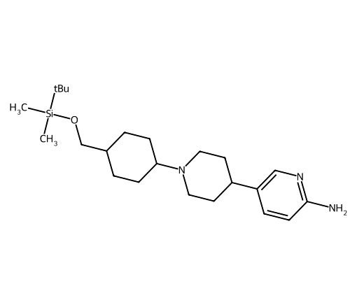 CC(C)(C)[Si](C)(C)OCC1CCC(N2CCC(c3ccc(N)nc3)CC2)CC1